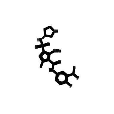 COc1c(S(=O)(=O)N[C@@H]2CCNC2)cn(C)c1C(=O)Nc1ccc(F)c(C(F)F)c1